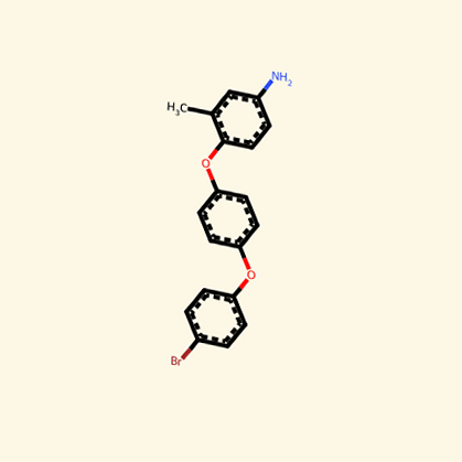 Cc1cc(N)ccc1Oc1ccc(Oc2ccc(Br)cc2)cc1